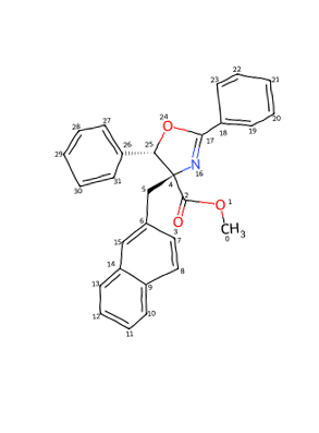 COC(=O)[C@@]1(Cc2ccc3ccccc3c2)N=C(c2ccccc2)O[C@H]1c1ccccc1